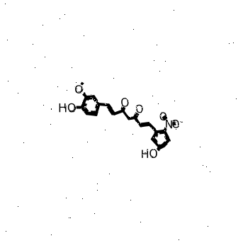 COc1cc(C=CC(=O)CC(=O)C=Cc2cc(O)ccc2[N+](=O)[O-])ccc1O